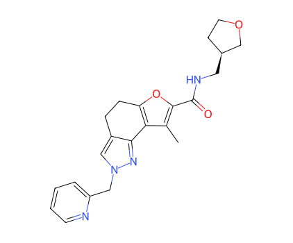 Cc1c(C(=O)NC[C@H]2CCOC2)oc2c1-c1nn(Cc3ccccn3)cc1CC2